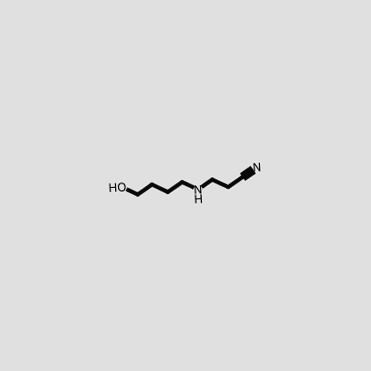 N#CCCNCCCCO